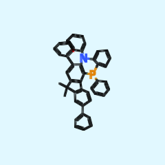 CC1(C)c2cc(-c3ccccc3)ccc2-c2c1cc(-c1ccccc1)c1c2P(c2ccccc2)c2ccccc2N1c1ccccc1